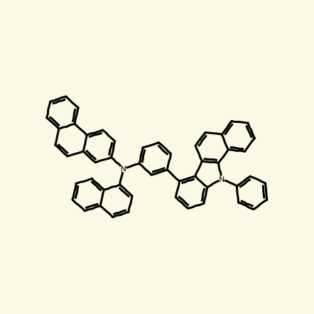 c1ccc(-n2c3cccc(-c4cccc(N(c5ccc6c(ccc7ccccc76)c5)c5cccc6ccccc56)c4)c3c3ccc4ccccc4c32)cc1